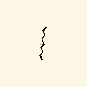 [CH]=CC/C=C/CCC=[CH]